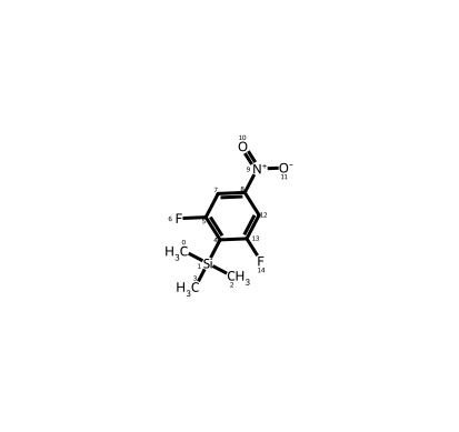 C[Si](C)(C)c1c(F)cc([N+](=O)[O-])cc1F